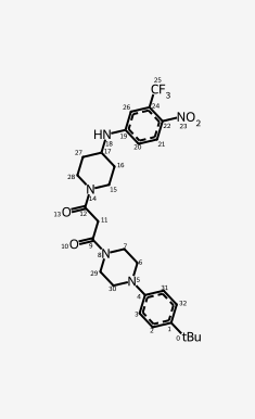 CC(C)(C)c1ccc(N2CCN(C(=O)CC(=O)N3CCC(Nc4ccc([N+](=O)[O-])c(C(F)(F)F)c4)CC3)CC2)cc1